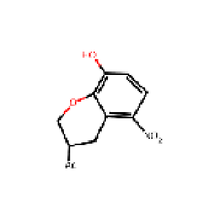 CC(=O)C1COc2c(O)ccc([N+](=O)[O-])c2C1